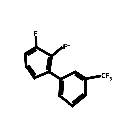 CC(C)c1c(-c2cccc(C(F)(F)F)c2)[c]ccc1F